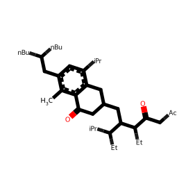 CCCCC(CCCC)Cc1cc(C(C)C)c2c(c1C)C(=O)CC(CC(C(CC)C(=O)CC(C)=O)C(CC)C(C)C)C2